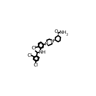 CC(Nc1cc(N2CCN([C@@H]3CCC[C@H](C(N)=O)C3)CC2)ccc1Cl)c1ccc(Cl)cc1Cl